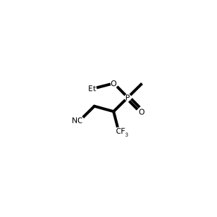 CCOP(C)(=O)C(CC#N)C(F)(F)F